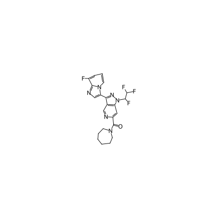 O=C(c1cc2c(cn1)c(-c1cnc3c(F)cccn13)nn2C(F)C(F)F)N1CCCCCC1